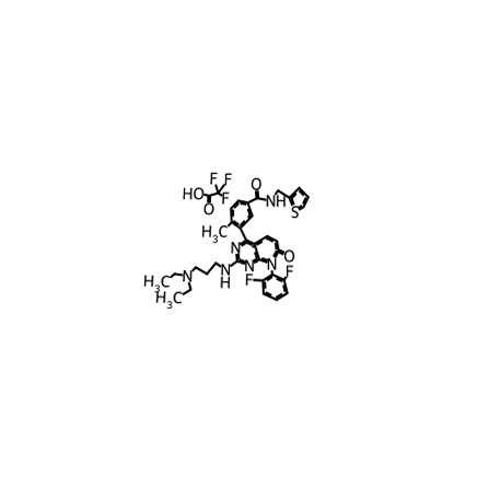 CCN(CC)CCCNc1nc(-c2cc(C(=O)NCc3cccs3)ccc2C)c2ccc(=O)n(-c3c(F)cccc3F)c2n1.O=C(O)C(F)(F)F